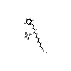 CCCCCCCCCCCC[n+]1ccccc1.F[B-](F)(F)F